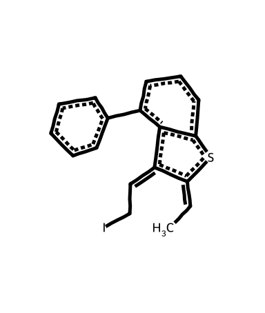 C/C=c1/sc2cccc(-c3ccccc3)c2/c1=C/CI